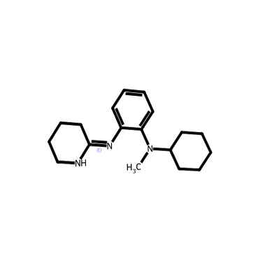 CN(c1ccccc1/N=C1\CCCCN1)C1CCCCC1